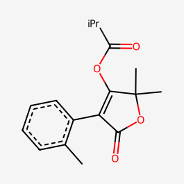 Cc1ccccc1C1=C(OC(=O)C(C)C)C(C)(C)OC1=O